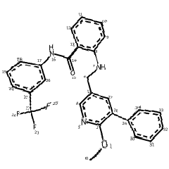 COc1ncc(CNc2ccccc2C(=O)Nc2cccc(C(F)(F)F)c2)cc1-c1ccccc1